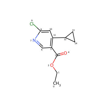 CCOC(=O)c1cnc(Cl)cc1C1CC1